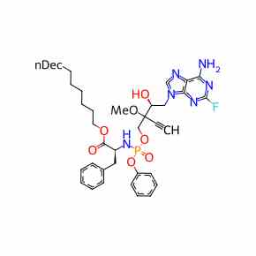 C#CC(COP(=O)(N[C@@H](Cc1ccccc1)C(=O)OCCCCCCCCCCCCCCCC)Oc1ccccc1)(OC)[C@@H](O)Cn1cnc2c(N)nc(F)nc21